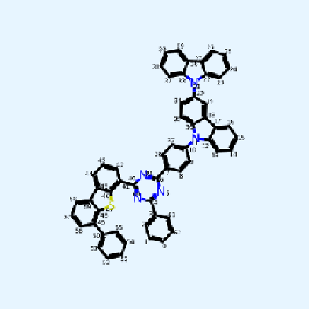 c1ccc(-c2nc(-c3ccc(-n4c5ccccc5c5cc(-n6c7ccccc7c7ccccc76)ccc54)cc3)nc(-c3cccc4c3sc3c(-c5ccccc5)cccc34)n2)cc1